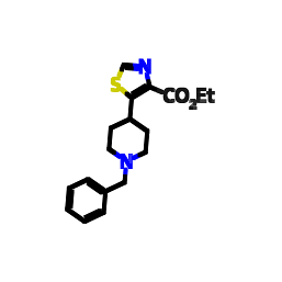 CCOC(=O)c1ncsc1C1CCN(Cc2ccccc2)CC1